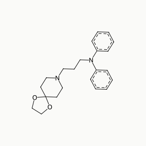 c1ccc(N(CCCN2CCC3(CC2)OCCO3)c2ccccc2)cc1